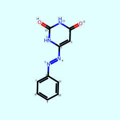 O=c1cc(/N=N/c2ccccc2)[nH]c(=O)[nH]1